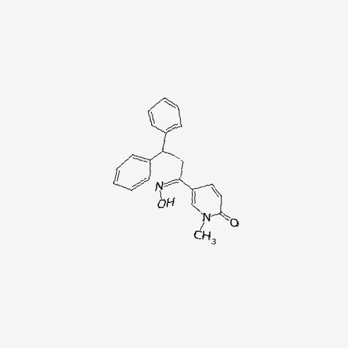 Cn1cc(C(CC(c2ccccc2)c2ccccc2)=NO)ccc1=O